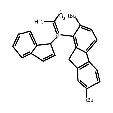 C[C](C)=[Zr]([c]1c(C(C)(C)C)ccc2c1Cc1cc(C(C)(C)C)ccc1-2)[CH]1C=Cc2ccccc21